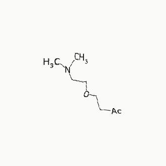 CC(=O)CCOCCN(C)C